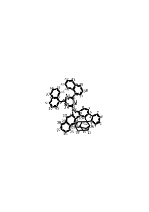 c1ccc2c(c1)-c1ccc3c(c1C21C2CC4CC(C2)CC1C4)c1cc2ccccc2cc1n3-c1nc(-c2cccc3ccccc23)nc(-c2cccc3ccccc23)n1